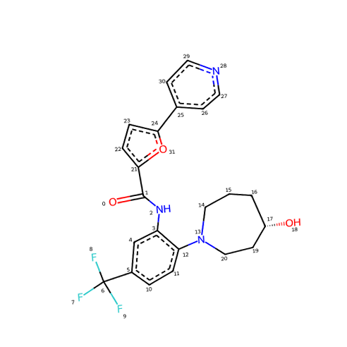 O=C(Nc1cc(C(F)(F)F)ccc1N1CCC[C@H](O)CC1)c1ccc(-c2ccncc2)o1